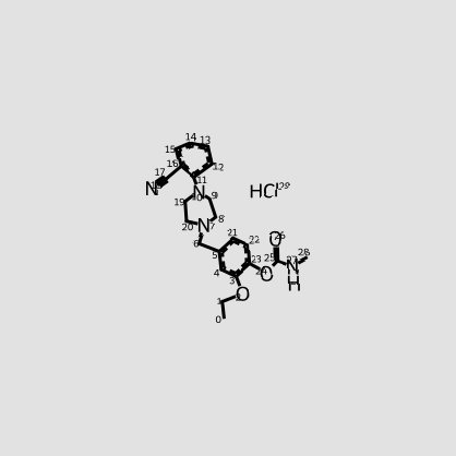 CCOc1cc(CN2CCN(c3ccccc3C#N)CC2)ccc1OC(=O)NC.Cl